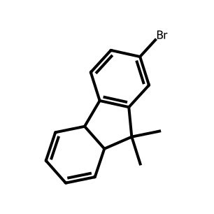 CC1(C)c2cc(Br)ccc2C2C=CC=CC21